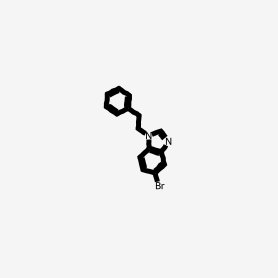 Brc1ccc2c(c1)ncn2CCc1ccccc1